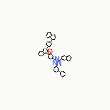 C1=Cc2cc(-c3ccc(-c4cccc5ccccc45)cc3)c3oc4cc(-c5nc(-c6cccc(-c7ccccc7)c6)nc(-c6ccc7ccccc7c6)n5)ccc4c3c2CC1